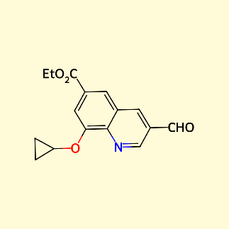 CCOC(=O)c1cc(OC2CC2)c2ncc(C=O)cc2c1